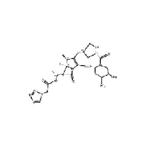 C[C@@H](NC(=O)Cn1cnnn1)[C@H]1C(=O)N2C(C(=O)O)=C(S[C@@H]3CN[C@H](C(=O)N4CCC(N)C(O)C4)C3)[C@H](C)[C@H]12